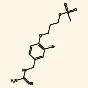 N=C(N)NCc1ccc(OCCCOS(=O)(=O)I)c(Br)c1